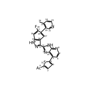 CC(=O)c1ccc(-c2ccnc3[nH]c(-c4n[nH]c5cc(F)c(-c6cnccc6C)cc45)nc23)s1